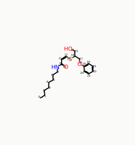 CCCCCCCCNC(=O)/C=C\SC(CO)COc1ccccc1